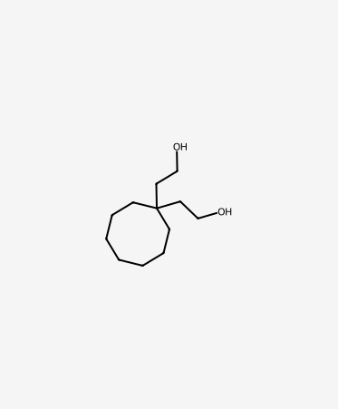 OCCC1(CCO)CCCCCCC1